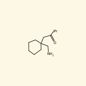 CC(C)C(=O)CC1(CN)CCCCC1